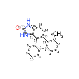 Cc1cccc(-c2ccccc2)c1-c1ccc2[nH]c(=O)[nH]c2c1